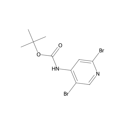 CC(C)(C)OC(=O)Nc1cc(Br)ncc1Br